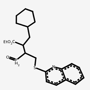 CCOC(=O)C(CC1CCCCC1)C(CSc1ccc2ccccc2n1)[PH2]=O